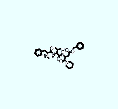 CNC(Cc1ccccc1)C(=O)N(C)C(C(=O)NC(CC(=O)OCc1ccccc1)C(=O)N1CCCCC1)C(C)C